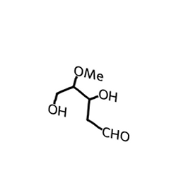 COC(CO)C(O)CC=O